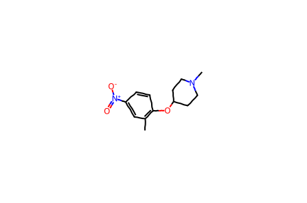 Cc1cc([N+](=O)[O-])ccc1OC1CCN(C)CC1